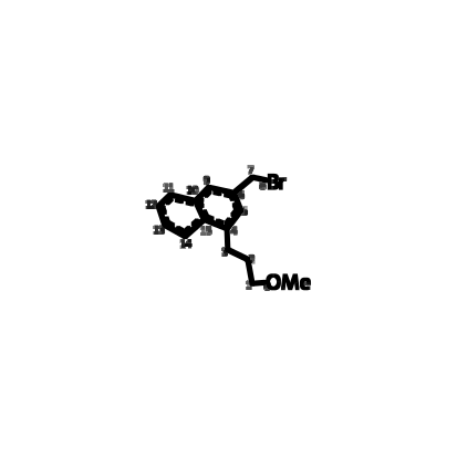 COCCCc1cc(CBr)cc2ccccc12